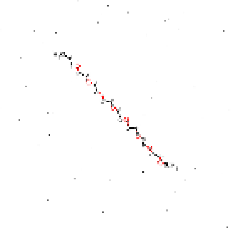 CCCOCCOCCOCCOCCOCCOCCOCCOC